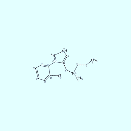 CCCN(C)Cc1c[nH]nc1-c1ccccc1Cl